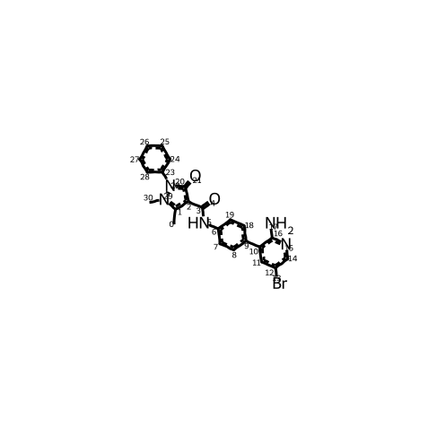 Cc1c(C(=O)Nc2ccc(-c3cc(Br)cnc3N)cc2)c(=O)n(-c2ccccc2)n1C